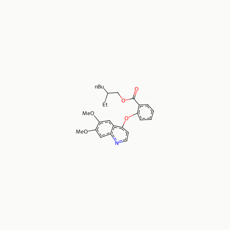 CCCCC(CC)COC(=O)c1ccccc1Oc1ccnc2cc(OC)c(OC)cc12